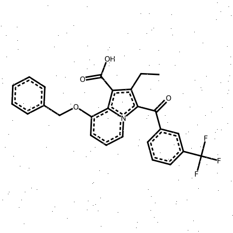 CCc1c(C(=O)O)c2c(OCc3ccccc3)cccn2c1C(=O)c1cccc(C(F)(F)F)c1